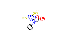 O=C(O)CN(c1ccccc1)c1nc(S)nc(S)n1